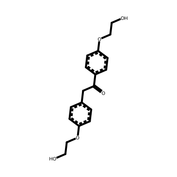 O=C(Cc1ccc(OCCO)cc1)c1ccc(OCCO)cc1